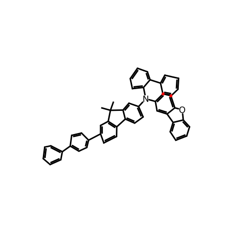 CC1(C)c2cc(-c3ccc(-c4ccccc4)cc3)ccc2-c2ccc(N(c3ccc4oc5ccccc5c4c3)c3ccccc3-c3ccccc3)cc21